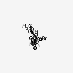 C=CCOC(=O)NCCC[C@H]1C(=O)N(Cc2cccc(Br)c2)C[C@H]2C1C(=O)CN(C)N2C(=O)NCc1ccccc1